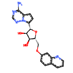 Nc1ncnn2c([C@@H]3O[C@H](COc4ccc5cccnc5c4)[C@@H](O)[C@H]3O)ccc12